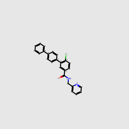 O=C(NCc1ccccn1)c1ccc(Cl)c(-c2ccc(-c3ccccc3)cc2)c1